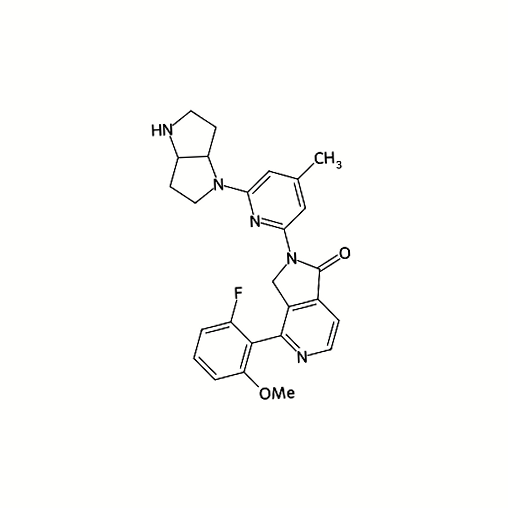 COc1cccc(F)c1-c1nccc2c1CN(c1cc(C)cc(N3CCC4NCCC43)n1)C2=O